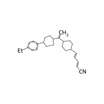 C=C(C1CCC(C=CC=CC#N)CC1)C1CCC(c2ccc(CC)cc2)CC1